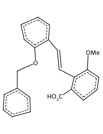 COc1cccc(C(=O)O)c1C=Cc1ccccc1OCc1ccccc1